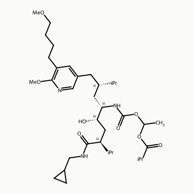 COCCCCc1cc(C[C@@H](C[C@H](NC(=O)OC(C)OC(=O)C(C)C)[C@@H](O)C[C@H](C(=O)NCC2CC2)C(C)C)C(C)C)cnc1OC